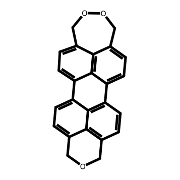 c1cc2c3ccc4c5c(ccc(c6ccc7c(c1COC7)c26)c53)COOC4